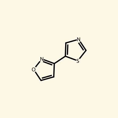 c1cc(-c2cncs2)no1